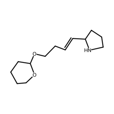 C(=CC1CCCN1)CCOC1CCCCO1